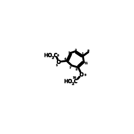 CC1=CC=C(OC(=O)O)CC(OC(=O)O)=C1